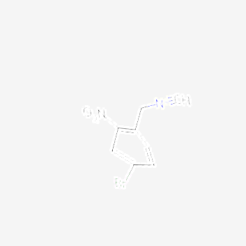 C#[N+]Cc1ccc(Br)cc1[N+](=O)[O-]